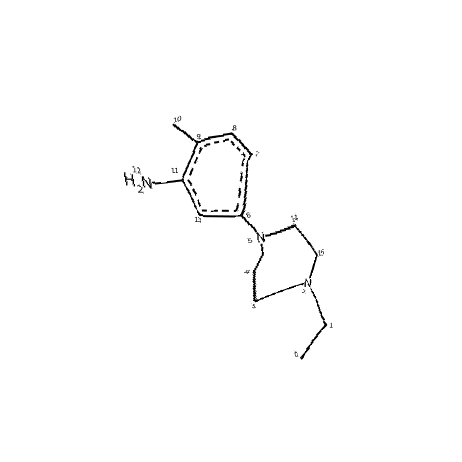 CCN1CCN(c2ccc(C)c(N)c2)CC1